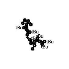 Cc1ccccc1N(c1ccc2c3cc(C(C)(C)C)cc4c5cc6c(cc5n(c2c1)c34)c1cc(C(C)(C)C)cc2c3cc(C(C)(C)Cc4cc(C(C)(C)C)c5oc7c(N(c8ccc9c%10cc(C(C)(C)C)cc%11c%12cc%13c(cc%12n(c9c8)c%10%11)c8cc(C(C)(C)C)cc9c%10cc(C(C)(C)C)ccc%10n%13c98)c8cc(-c9ccccc9)ccc8C)cccc7c5c4)ccc3n6c21)c1cccc2c1oc1c(-c3ccccc3)cccc12